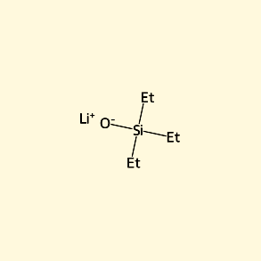 CC[Si]([O-])(CC)CC.[Li+]